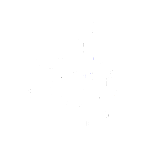 PC(c1ccccc1)(c1ccccc1)c1ccc2c(c1)C1(c3ccccc3-2)c2ccccc2-c2c(-c3ccccc3)nc(-c3ccccc3)nc21